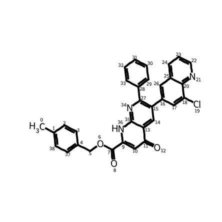 Cc1ccc(COC(=O)c2cc(=O)c3cc(-c4cc(Cl)c5ncccc5c4)c(-c4ccccc4)nc3[nH]2)cc1